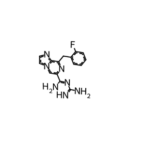 N=C(N)/N=C(\N)c1cn2ccnc2c(Cc2ccccc2F)n1